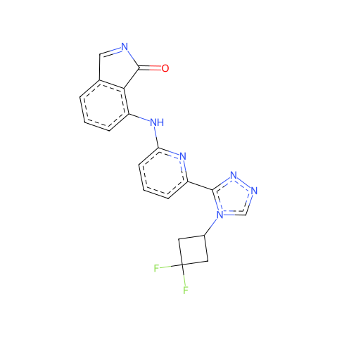 O=C1N=Cc2cccc(Nc3cccc(-c4nncn4C4CC(F)(F)C4)n3)c21